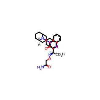 NC(=O)CO/N=C(\C(=O)O)c1nc2ccccc2n(C2CC3CCC[C@H](C2)N3C2CC3CCCC(C3)C2)c1=O